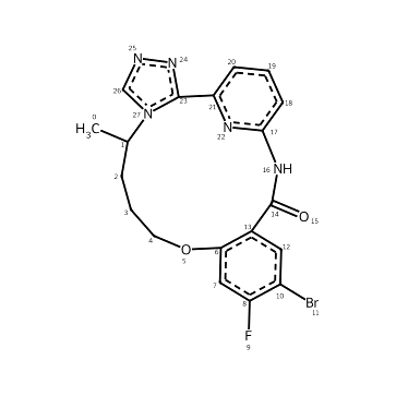 CC1CCCOc2cc(F)c(Br)cc2C(=O)Nc2cccc(n2)-c2nncn21